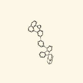 c1cc(-c2ccc3c(c2)-c2cccc4cccc(c24)O3)cc(-c2cccc3c2-c2ccccc2C32C3CC4CC(C3)CC2C4)c1